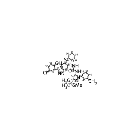 CSC(C)(C)c1cc(NC(=O)NCc2ccccc2Sc2ccc3nnc(-c4cc(Cl)ccc4O)n3c2)n(-c2cccc(C)c2)n1